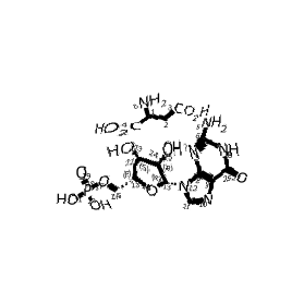 NC(CC(=O)O)C(=O)O.Nc1nc2c(ncn2[C@@H]2O[C@H](COP(=O)(O)O)[C@@H](O)[C@H]2O)c(=O)[nH]1